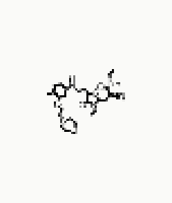 CCNC(=O)C(C#N)CC1SC(CCNc2ccc(C)c(OCCN3CCOCC3)c2)C(=O)N1CC